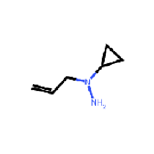 C=CCN(N)C1CC1